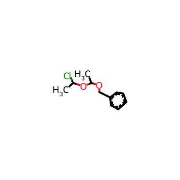 CC(Cl)OC(C)OCc1ccccc1